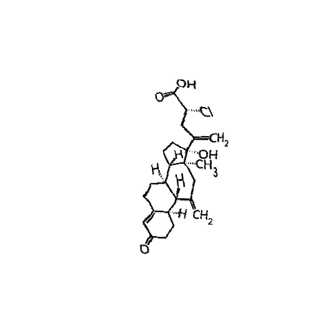 C=C1C[C@@]2(C)[C@@H](CC[C@@]2(O)C(=C)C[C@@H](Cl)C(=O)O)[C@@H]2CCC3=CC(=O)CC[C@@H]3[C@@H]12